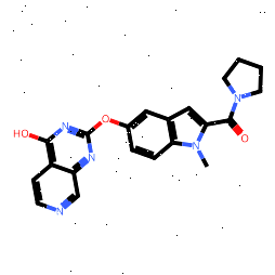 Cn1c(C(=O)N2CCCC2)cc2cc(Oc3nc(O)c4ccncc4n3)ccc21